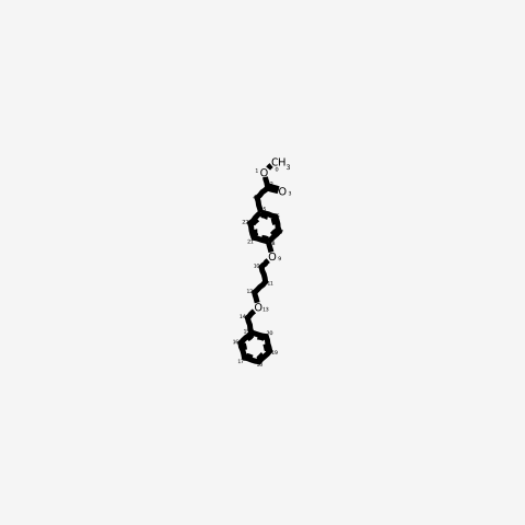 COC(=O)Cc1ccc(OCCCOCc2ccccc2)cc1